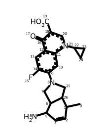 CC1C=CC(N)C2CN(c3cc4c(cc3F)c(=O)c(C(=O)O)cn4C3CC3)CC12